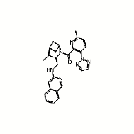 Cc1ccc(-n2nccn2)c(C(=O)N2C3CC(C3)C(C)C2CNc2cc3ccccc3cn2)n1